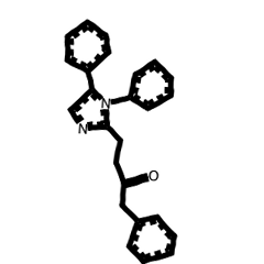 O=C(CCc1ncc(-c2ccccc2)n1-c1ccccc1)Cc1ccccc1